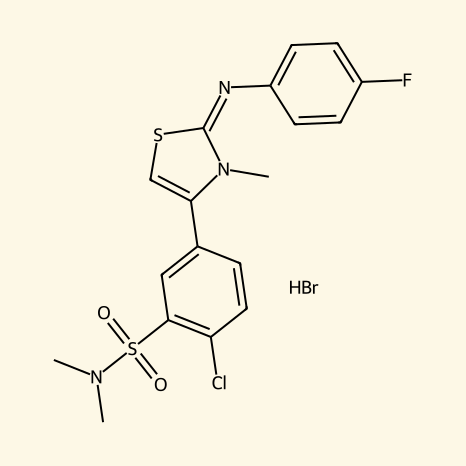 Br.CN(C)S(=O)(=O)c1cc(-c2csc(=Nc3ccc(F)cc3)n2C)ccc1Cl